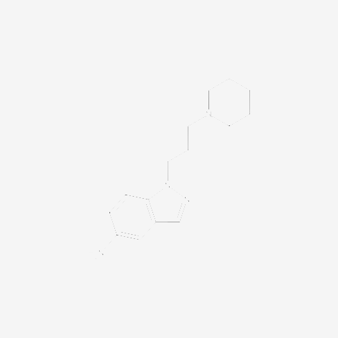 Nc1ccc2c(cnn2CCCN2CCCCC2)c1